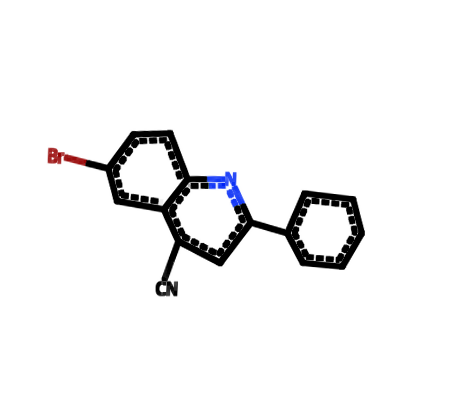 N#Cc1cc(-c2ccccc2)nc2ccc(Br)cc12